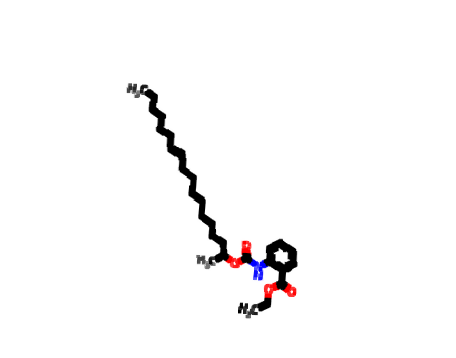 CCCCCCC=CCCCCCCCCC(C)OC(=O)Nc1ccccc1C(=O)OCC